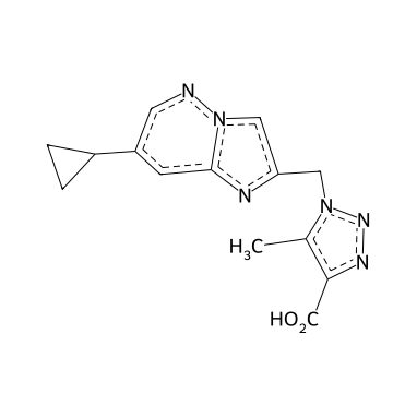 Cc1c(C(=O)O)nnn1Cc1cn2ncc(C3CC3)cc2n1